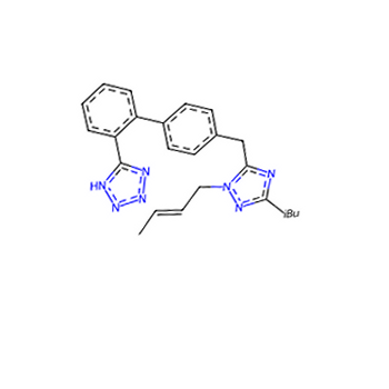 CC=CCn1nc(C(C)CC)nc1Cc1ccc(-c2ccccc2-c2nnn[nH]2)cc1